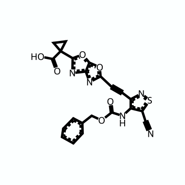 N#Cc1snc(C#Cc2nc3nc(C4(C(=O)O)CC4)oc3o2)c1NC(=O)OCc1ccccc1